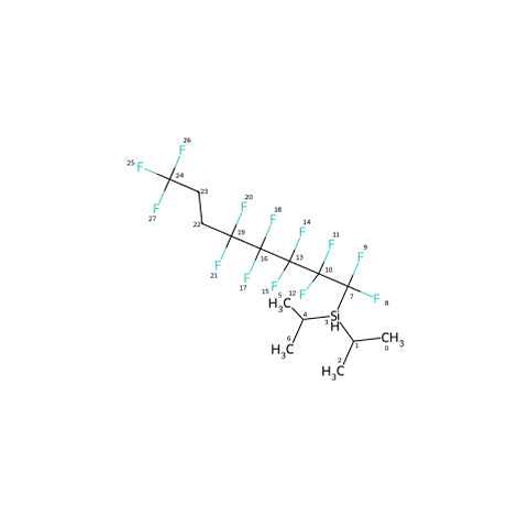 CC(C)[SiH](C(C)C)C(F)(F)C(F)(F)C(F)(F)C(F)(F)C(F)(F)CCC(F)(F)F